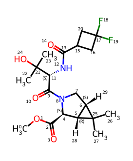 COC(=O)[C@@H]1[C@@H]2[C@H](CN1C(=O)[C@@H](NC(=O)C1CC(F)(F)C1)C(C)(C)O)C2(C)C